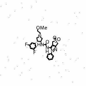 COCCN1C[C@@H](NC(=O)Nc2c3c(nn2-c2ccccc2)CS(=O)(=O)C3)[C@H](c2cc(F)cc(F)c2)C1